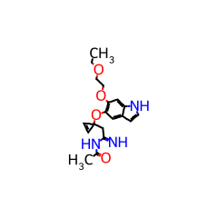 CCOCCOc1cc2[nH]ccc2cc1OC1(CC(=N)NC(C)=O)C=C1